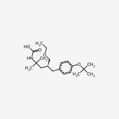 CCOC[C@@H](Cc1ccc(OC(C)(C)C)cc1)CC(C)(C)NC(=O)O